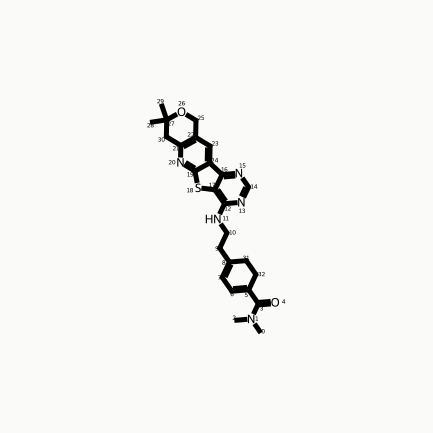 CN(C)C(=O)C1=CC=C(CCNc2ncnc3c2sc2nc4c(cc23)COC(C)(C)C4)CC1